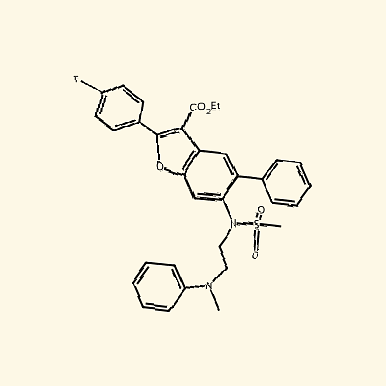 CCOC(=O)c1c(-c2ccc(F)cc2)oc2cc(N(CCN(C)c3ccccc3)S(C)(=O)=O)c(-c3ccccc3)cc12